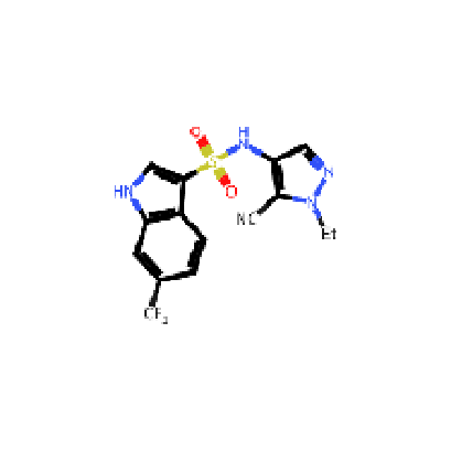 CCn1ncc(NS(=O)(=O)c2c[nH]c3cc(C(F)(F)F)ccc23)c1C#N